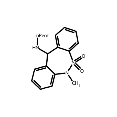 CCCCCNC1c2ccccc2N(C)S(=O)(=O)c2ccccc21